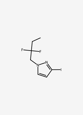 CCC(F)(F)Cn1ccc(I)n1